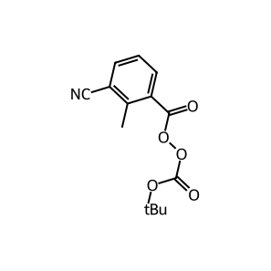 Cc1c(C#N)cccc1C(=O)OOC(=O)OC(C)(C)C